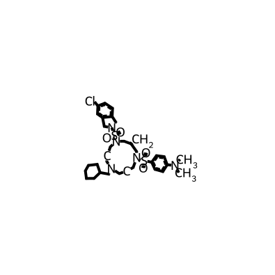 C=C1CN(S(=O)(=O)c2ccc(N(C)C)cc2)CCCN(CC2CCCCC2)CCCN(S(=O)(=O)N2Cc3ccc(Cl)cc3C2)C1